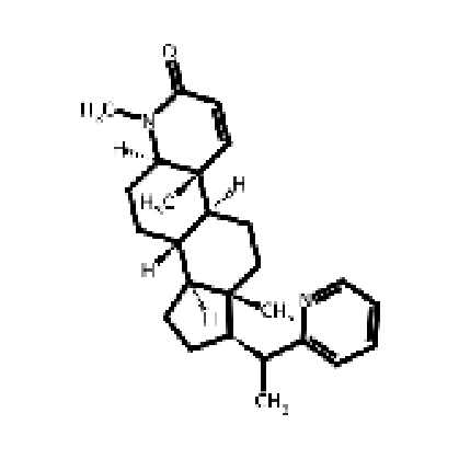 CC(c1ccccn1)[C@H]1CC[C@H]2[C@@H]3CC[C@H]4N(C)C(=O)C=C[C@]4(C)[C@H]3CC[C@]12C